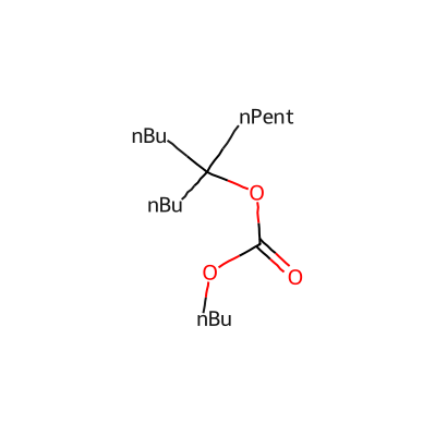 CCCCCC(CCCC)(CCCC)OC(=O)OCCCC